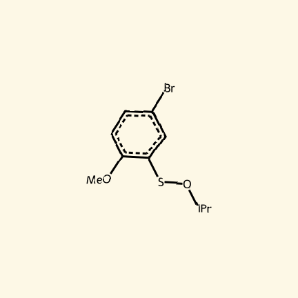 COc1ccc(Br)cc1SOC(C)C